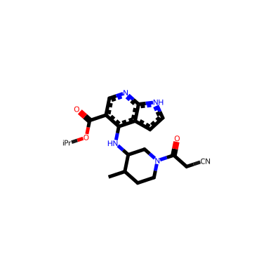 CC(C)OC(=O)c1cnc2[nH]ccc2c1NC1CN(C(=O)CC#N)CCC1C